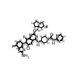 Nc1nc2c(-c3c(Cl)cc4c(NC5CCN(C(=O)Nc6ncccn6)CC5)nc(OC[C@@]56CCCN5C[C@H](F)C6)nc4c3F)ccc(F)c2s1